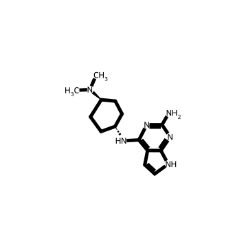 CN(C)[C@H]1CC[C@H](Nc2nc(N)nc3[nH]ccc23)CC1